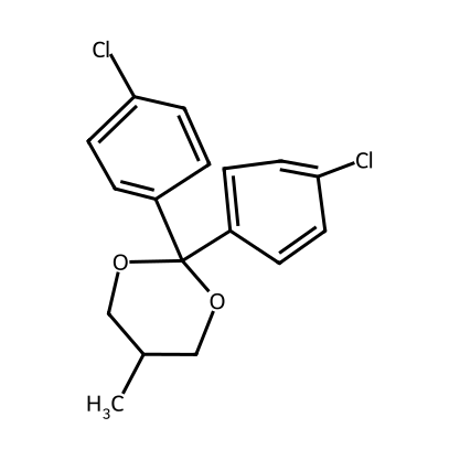 CC1COC(c2ccc(Cl)cc2)(c2ccc(Cl)cc2)OC1